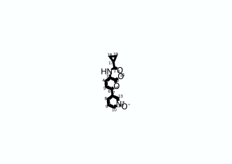 O=C(Nc1ccc(-c2ccc[n+]([O-])c2)oc1=O)C1CC1